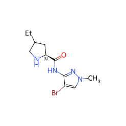 CCC1CN[C@H](C(=O)Nc2nn(C)cc2Br)C1